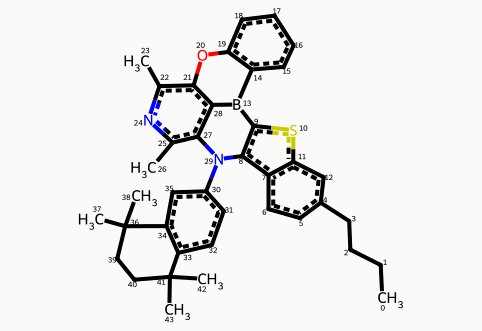 CCCCc1ccc2c3c(sc2c1)B1c2ccccc2Oc2c(C)nc(C)c(c21)N3c1ccc2c(c1)C(C)(C)CCC2(C)C